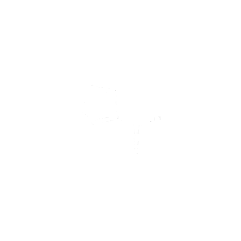 O=C(Cl)c1ccsc1